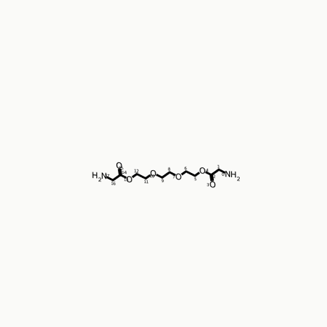 NCC(=O)OCCOCCOCCOC(=O)CN